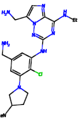 CCNc1nc(Nc2cc(CN)cc(N3CCC(NC)C3)c2Cl)nn2c(CN)cnc12